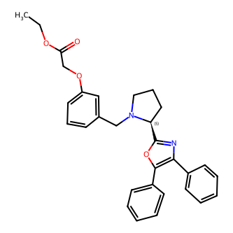 CCOC(=O)COc1cccc(CN2CCC[C@H]2c2nc(-c3ccccc3)c(-c3ccccc3)o2)c1